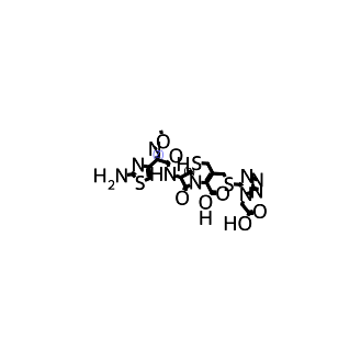 CO/N=C(\C(=O)NC1C(=O)N2C(C(=O)O)=C(CSc3nnnn3CC(=O)O)CS[C@H]12)c1csc(N)n1